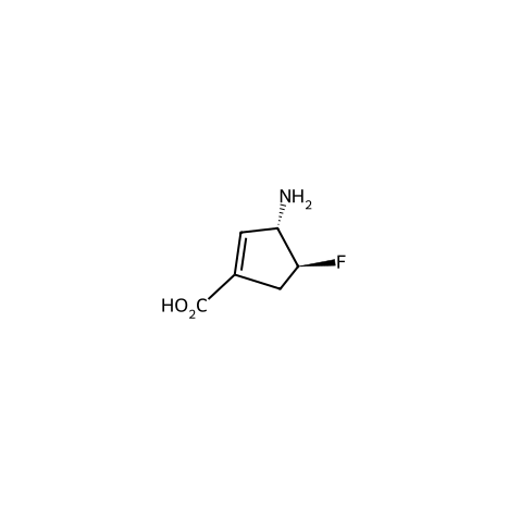 N[C@H]1C=C(C(=O)O)C[C@@H]1F